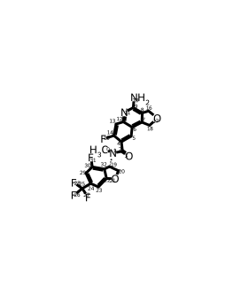 CN(C(=O)c1cc2c3c(c(N)nc2cc1F)COC3)[C@@H]1COc2cc(C(F)(F)F)cc(F)c21